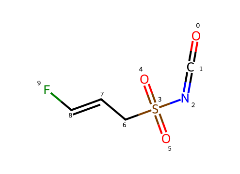 O=C=NS(=O)(=O)CC=CF